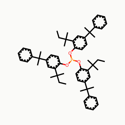 CCC(C)(C)c1cc(C(C)(C)c2ccccc2)ccc1OP(Oc1ccc(C(C)(C)c2ccccc2)cc1C(C)(C)CC)Oc1ccc(C(C)(C)c2ccccc2)cc1C(C)(C)CC